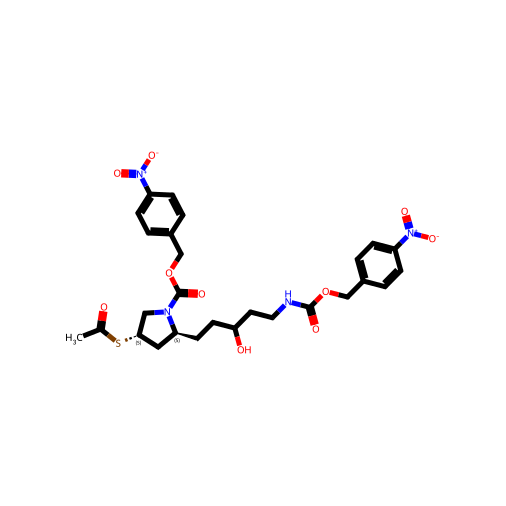 CC(=O)S[C@H]1C[C@H](CCC(O)CCNC(=O)OCc2ccc([N+](=O)[O-])cc2)N(C(=O)OCc2ccc([N+](=O)[O-])cc2)C1